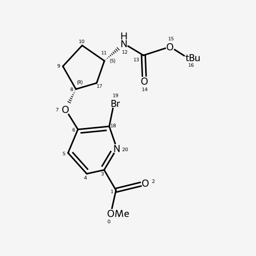 COC(=O)c1ccc(O[C@@H]2CC[C@H](NC(=O)OC(C)(C)C)C2)c(Br)n1